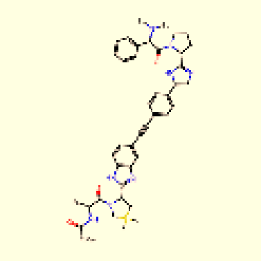 CCN(CC)[C@@H](C(=O)N1CCC[C@H]1c1ncc(-c2ccc(C#Cc3ccc4[nH]c([C@@H]5CS(C)(C)CN5C(=O)[C@@H](NC(=O)OC)C(C)C)nc4c3)cc2)[nH]1)c1ccccc1